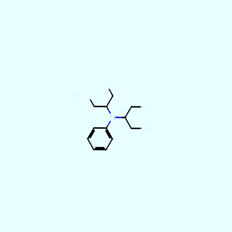 CCC(CC)N(c1ccccc1)C(CC)CC